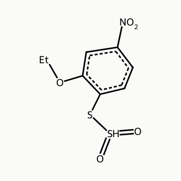 CCOc1cc([N+](=O)[O-])ccc1S[SH](=O)=O